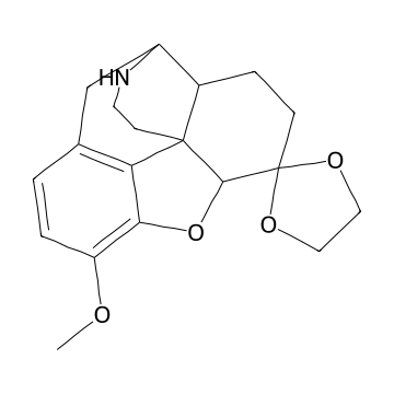 COc1ccc2c3c1OC1C4(CCC5C(C2)NCCC351)OCCO4